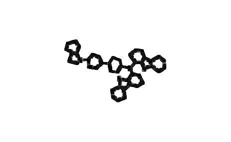 C1=C(c2ccc(-n3ccc4ccccc43)cc2)CCC(N(c2cccc3c2sc2ccccc23)c2cccc3c2sc2ccccc23)=C1